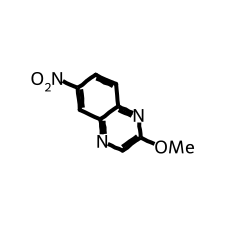 COc1cnc2cc([N+](=O)[O-])ccc2n1